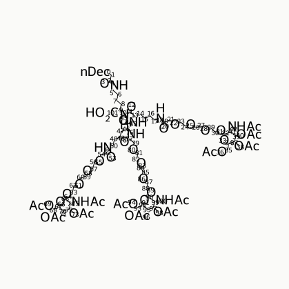 CCCCCCCCCCCC(=O)NCCCC[C@H](NC(=O)[C@H](CCCCNC(=O)COCCOCCOCCOC1O[C@H](COC(C)=O)[C@H](OC(C)=O)[C@H](OC(C)=O)[C@H]1NC(C)=O)NC(=O)[C@H](CCCCNC(=O)COCCOCCOCCO[C@@H]1O[C@H](COC(C)=O)[C@H](OC(C)=O)[C@H](OC(C)=O)[C@H]1NC(C)=O)NC(=O)COCCOCCOCCO[C@@H]1O[C@H](COC(C)=O)[C@H](OC(C)=O)[C@H](OC(C)=O)[C@H]1NC(C)=O)C(=O)O